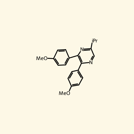 COc1ccc(-c2ncc(C(C)C)nc2-c2ccc(OC)cc2)cc1